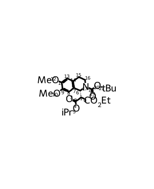 CCOC(=O)C(C(=O)OC(C)C)[C@@H]1c2cc(OC)c(OC)cc2CCN1C(=O)OC(C)(C)C